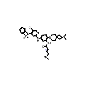 CN(C)C/C=C/C(=O)Nc1cc(Nc2ncc(Cl)c(N3c4ccccc4P3(C)=O)n2)ccc1N1CCC2(CC1)CC(N(C)C)C2